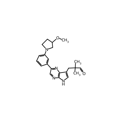 COC1CCN(c2cccc(-c3cnc4[nH]cc(CC(C)(C)C=O)c4n3)c2)C1